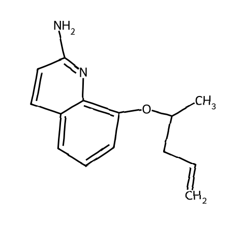 C=CCC(C)Oc1cccc2ccc(N)nc12